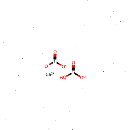 [Ca+2].[O]=[Ti]([O-])[O-].[O]=[Ti]([OH])[OH]